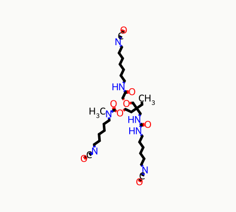 CCC(CCOC(=O)N(C)CCCCCCN=C=O)(CNC(=O)NCCCCCCN=C=O)COCC(=O)NCCCCCCCN=C=O